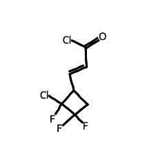 O=C(Cl)C=CC1CC(F)(F)C1(F)Cl